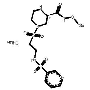 CC(C)(C)ONC(=O)[C@H]1CN(S(=O)(=O)CCNS(=O)(=O)c2cccnc2)CCN1.Cl.Cl